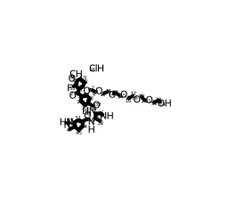 COc1ccc(OCCOCCOCCOCCOCCOCCO)c(C(=O)c2ccc(C(=O)N[C@@H]3CNC[C@H]3NC(=O)c3ccc4cn[nH]c4c3)cc2)c1F.Cl